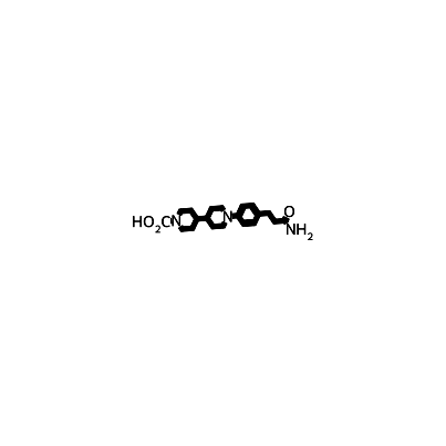 NC(=O)CCc1ccc(N2CCC(C3CCN(C(=O)O)CC3)CC2)cc1